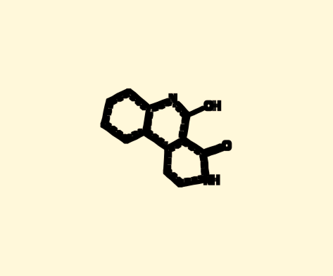 O=c1[nH]ccc2c1c(O)nc1ccccc12